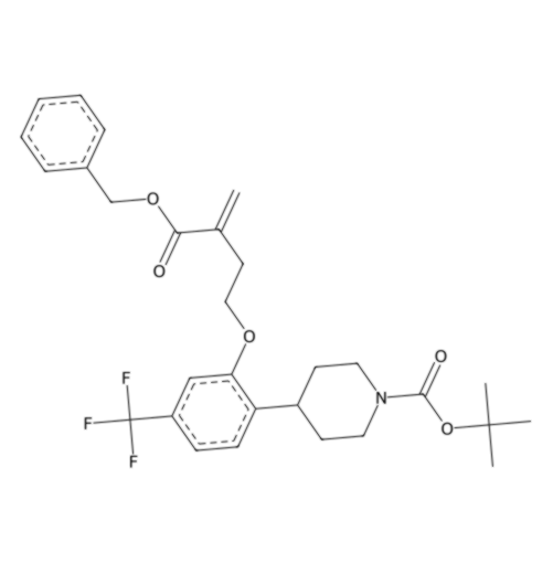 C=C(CCOc1cc(C(F)(F)F)ccc1C1CCN(C(=O)OC(C)(C)C)CC1)C(=O)OCc1ccccc1